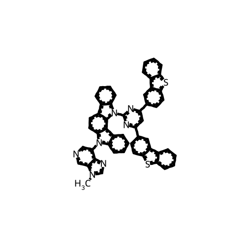 Cn1cnc2c(-n3c4ccccc4c4c3ccc3c5ccccc5n(-c5nc(-c6ccc7sc8ccccc8c7c6)cc(-c6ccc7sc8ccccc8c7c6)n5)c34)cncc21